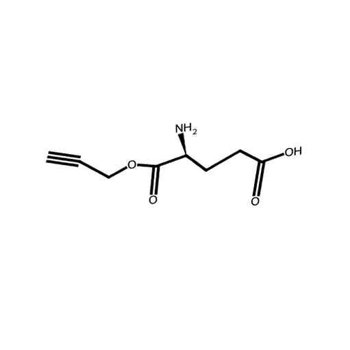 C#CCOC(=O)[C@@H](N)CCC(=O)O